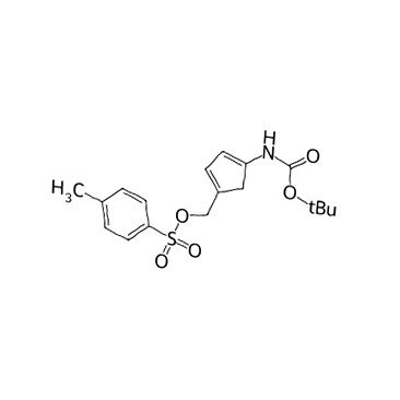 Cc1ccc(S(=O)(=O)OCC2=CC=C(NC(=O)OC(C)(C)C)C2)cc1